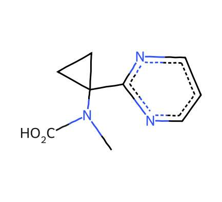 CN(C(=O)O)C1(c2ncccn2)CC1